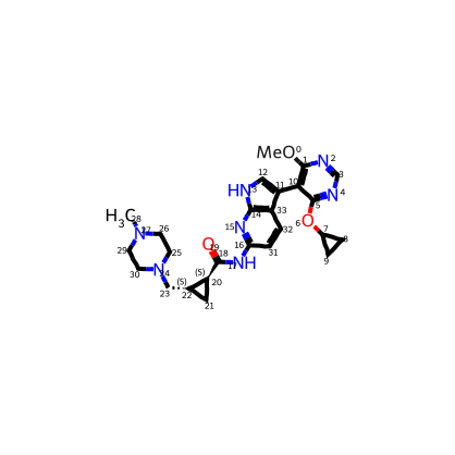 COc1ncnc(OC2CC2)c1-c1c[nH]c2nc(NC(=O)[C@H]3C[C@@H]3CN3CCN(C)CC3)ccc12